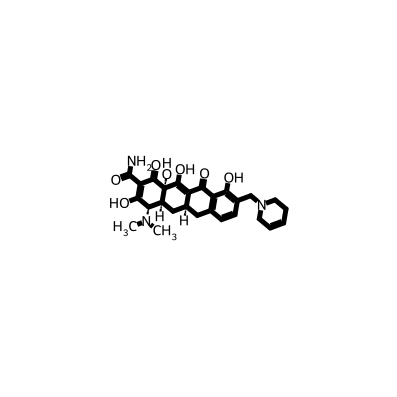 CN(C)[C@@H]1C(O)=C(C(N)=O)C(=O)[C@@]2(O)C(O)=C3C(=O)c4c(ccc(CN5CC=CCC5)c4O)C[C@H]3C[C@@H]12